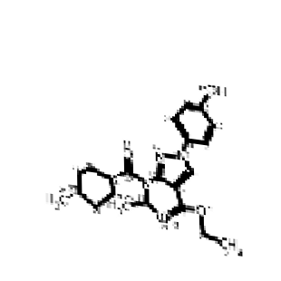 CCOC(=O)c1cn(-c2ccc(O)cc2)nc1N(C(=O)[C@H]1CC[C@H](C)CC1)C(C)C